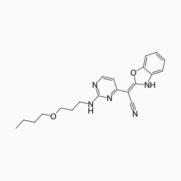 CCCCOCCCNc1nccc(C(C#N)=C2Nc3ccccc3O2)n1